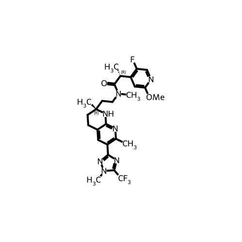 COc1cc([C@@H](C)C(=O)N(C)CC[C@@]2(C)CCc3cc(-c4nc(C(F)(F)F)n(C)n4)c(C)nc3N2)c(F)cn1